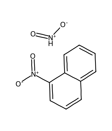 O=[N+]([O-])c1cccc2ccccc12.O=[NH+][O-]